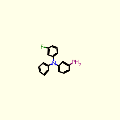 Fc1cccc(N(c2ccccc2)c2cccc(P)c2)c1